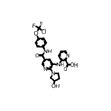 O=C(Nc1ccc(OC(F)(F)Cl)cc1)c1cnc(N2CCC(O)C2)c(Nc2cccnc2C(=O)O)c1